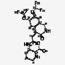 O=Cc1ncccc1NC(=O)/C=C1\C(=O)NCc2cc(OC(F)F)c(OC(F)F)cc21